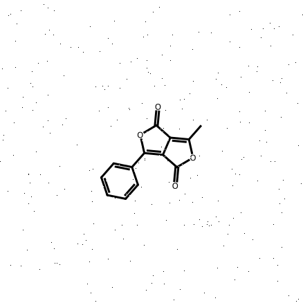 CC1=C2C(=O)OC(c3ccccc3)=C2C(=O)O1